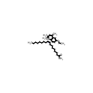 CCCCCCCC/C=C\CCCCCCCC(N)=O.CCOc1ccc2c(c1)C(C)=CC(C)(C)N2